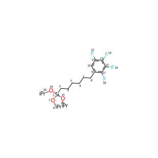 CC(C)O[Si](CCCCCCc1cc(F)c(F)c(F)c1F)(OC(C)C)OC(C)C